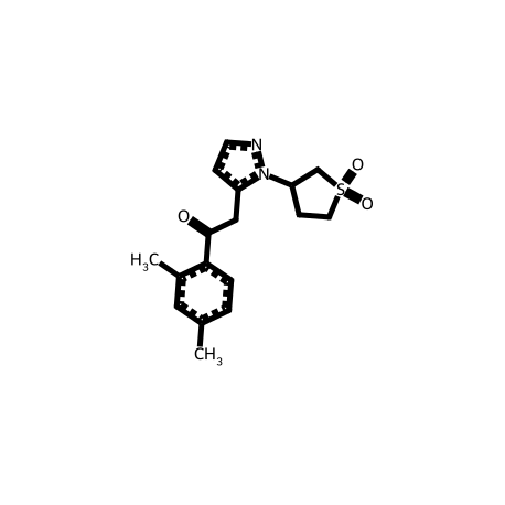 Cc1ccc(C(=O)Cc2ccnn2C2CCS(=O)(=O)C2)c(C)c1